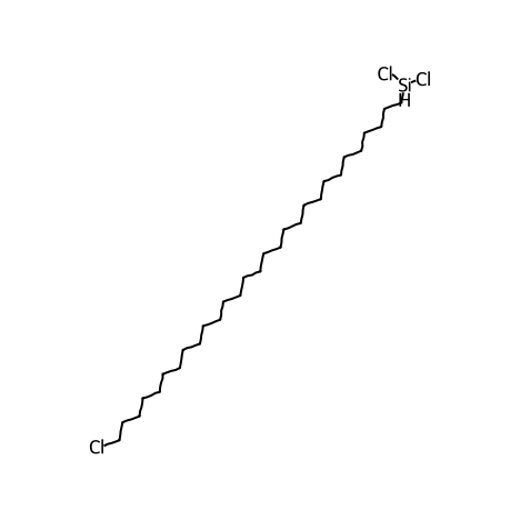 ClCCCCCCCCCCCCCCCCCCCCCCCCCCCCC[SiH](Cl)Cl